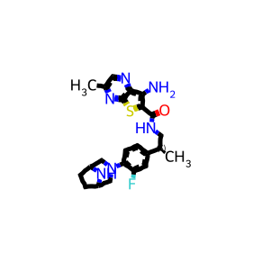 Cc1cnc2c(N)c(C(=O)NC[C@@H](C)c3ccc(N4CC5CCC(C4)N5)c(F)c3)sc2n1